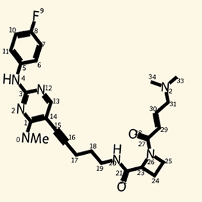 CNc1nc(Nc2ccc(F)cc2)ncc1C#CCCCNC(=O)C1CCN1C(=O)C=CCN(C)C